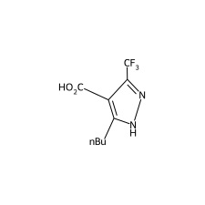 CCCCc1[nH]nc(C(F)(F)F)c1C(=O)O